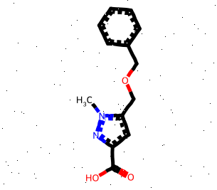 Cn1nc(C(=O)O)cc1COCc1ccccc1